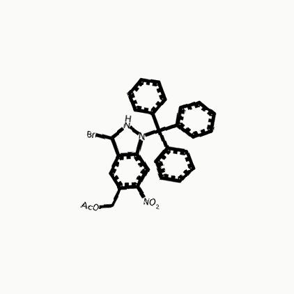 CC(=O)OCc1cc2c(cc1[N+](=O)[O-])N(C(c1ccccc1)(c1ccccc1)c1ccccc1)NC2Br